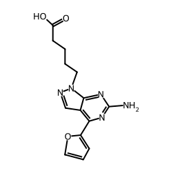 Nc1nc(-c2ccco2)c2cnn(CCCCC(=O)O)c2n1